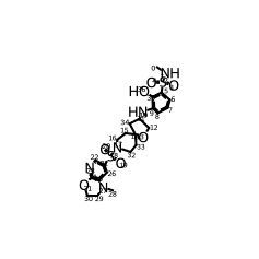 CNS(=O)(=O)c1cccc(N[C@H]2COC3(CCN(S(=O)(=O)c4cnc5c(c4)N(C)CCO5)CC3)C2)c1O